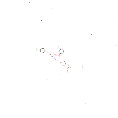 CCOC(Cc1ccc(OCCN(CCOCc2ccc(F)cc2)C(=O)Oc2cccc(C(F)(F)F)c2)cc1)C(=O)O